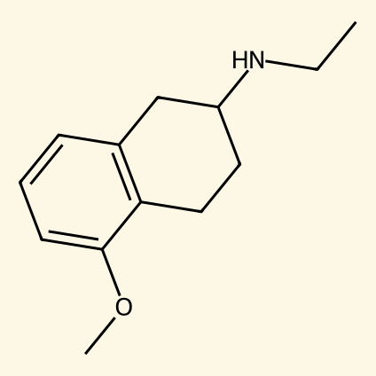 CCNC1CCc2c(cccc2OC)C1